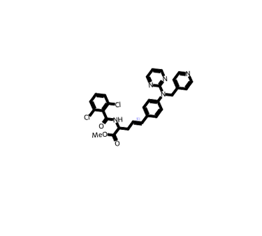 COC(=O)C(C/C=C/c1ccc(N(Cc2ccncc2)c2ncccn2)cc1)NC(=O)c1c(Cl)cccc1Cl